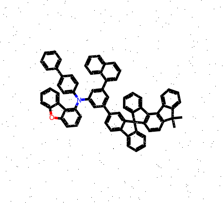 CC1(C)c2ccccc2-c2c1ccc1c2-c2ccccc2C12c1ccccc1-c1ccc(-c3cc(-c4cccc5ccccc45)cc(N(c4ccc(-c5ccccc5)cc4)c4cccc5oc6ccccc6c45)c3)cc12